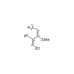 C/C=C(SC)\C(=C/CC)C(C)C